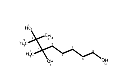 CC(C)(O)C(C)(O)CCCCCO